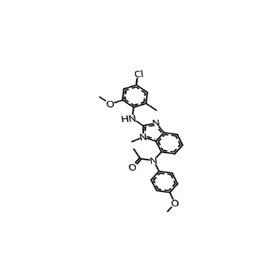 COc1ccc(N(C(C)=O)c2cccc3nc(Nc4c(C)cc(Cl)cc4OC)n(C)c23)cc1